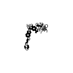 CC(C)c1cc(C(=O)N2Cc3ccc(OCCCN4CCOCC4)cc3C2)c(O)cc1OC(=O)c1ncn(C(=O)N(C)N)c1N